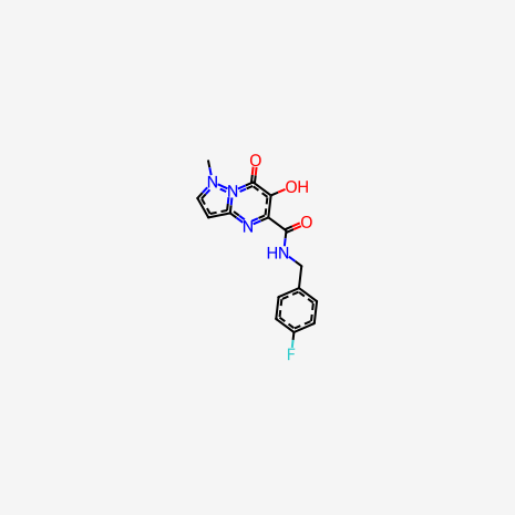 Cn1ccc2nc(C(=O)NCc3ccc(F)cc3)c(O)c(=O)n21